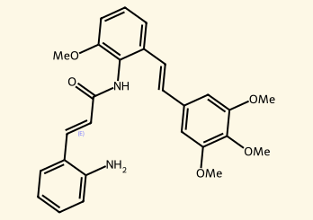 COc1cccc(C=Cc2cc(OC)c(OC)c(OC)c2)c1NC(=O)/C=C/c1ccccc1N